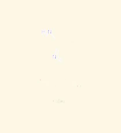 CC(C)COC(=O)C(=O)c1csc(N)n1